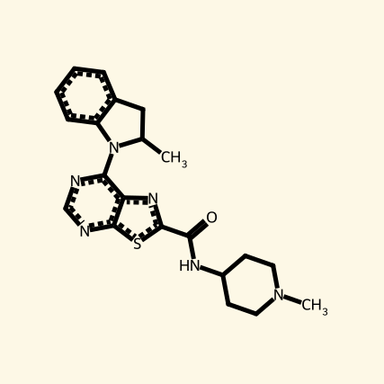 CC1Cc2ccccc2N1c1ncnc2sc(C(=O)NC3CCN(C)CC3)nc12